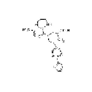 CNC(=O)[C@@H]1CCCNN1C(=O)C(CCc1ccc(-c2cscn2)cc1)CC(C)C(=O)O